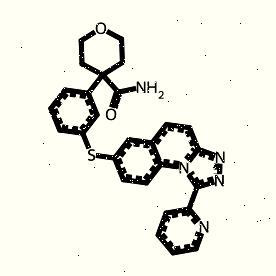 NC(=O)C1(c2cccc(Sc3ccc4c(ccc5nnc(-c6ccccn6)n54)c3)c2)CCOCC1